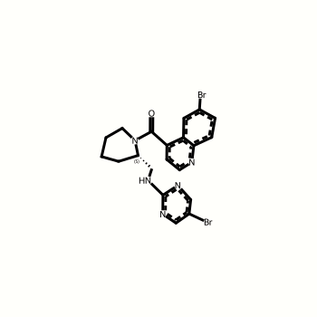 O=C(c1ccnc2ccc(Br)cc12)N1CCCC[C@H]1CNc1ncc(Br)cn1